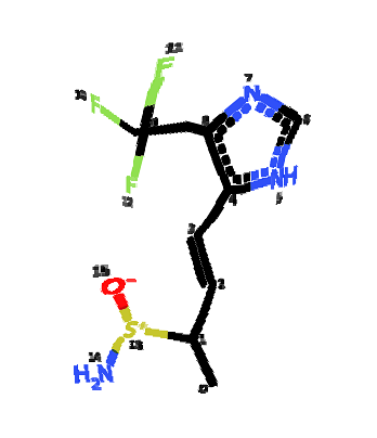 CC(C=Cc1[nH]cnc1C(F)(F)F)[S+](N)[O-]